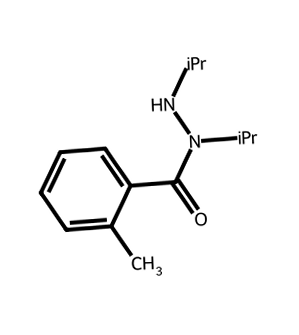 Cc1ccccc1C(=O)N(NC(C)C)C(C)C